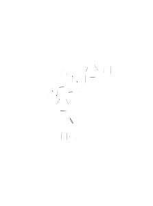 CC1(C)Cc2cc(C#CCO)cc3c(=O)c(C(=O)NCc4ccc(Cl)cc4)cn1c23